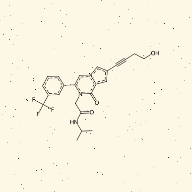 CC(C)NC(=O)Cn1c(-c2cccc(C(F)(F)F)c2)cn2cc(C#CCCO)cc2c1=O